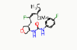 C/C=C(\C=C(\F)C[C@@H]1COC[C@@H]1NC(=O)Nc1ccc(F)cc1)OC